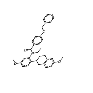 CCN(C(=O)c1ccc(OCc2ccccc2)cc1)c1cc(OC)ccc1C1CCc2cc(OC)ccc2C1